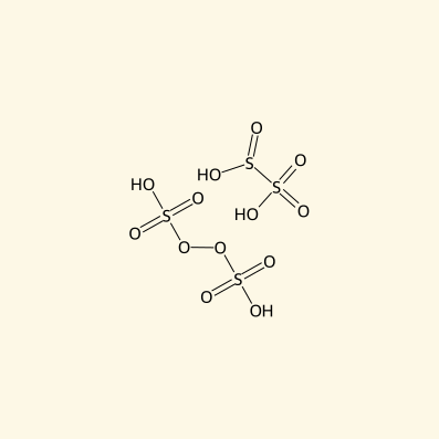 O=S(=O)(O)OOS(=O)(=O)O.O=S(O)S(=O)(=O)O